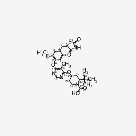 COc1cc(C=C2SC(=O)NC2=O)ccc1Oc1ncnc(OC2CCN(C(=O)O)C(C(C)(C)C)C2)c1C